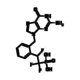 Nc1nc2c(ncn2Cc2ccccc2C(F)C(F)(F)P(=O)(O)O)c(=O)[nH]1